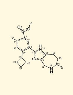 COC(=O)c1cc(-c2nc3c([nH]2)CCC(C)NC3)c(C2CCC2)cc1C